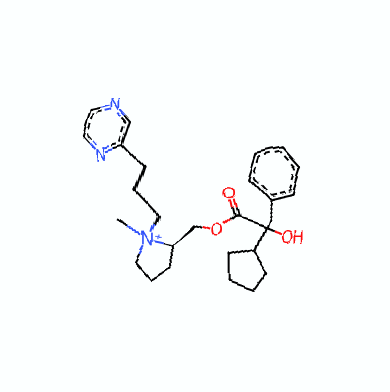 C[N+]1(CCCc2cnccn2)CCC[C@@H]1COC(=O)C(O)(c1ccccc1)C1CCCC1